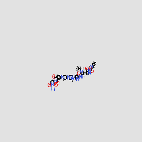 [2H]C([2H])([2H])n1cc(-c2ccnc(N3CCn4c(cc5c4CC(C)(C)C5)C3=O)c2CO)cc(Nc2ccc(N3CCN([C@@H]4CCN(c5ccc6c(c5)C(=O)N(C5CCC(=O)NC5=O)C6=O)[C@H](C)C4)C[C@@H]3C)cn2)c1=O